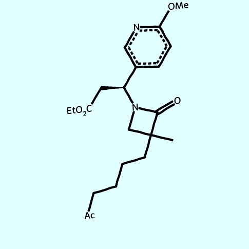 CCOC(=O)C[C@@H](c1ccc(OC)nc1)N1CC(C)(CCCCC(C)=O)C1=O